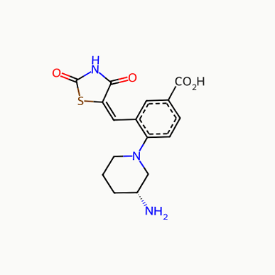 N[C@@H]1CCCN(c2ccc(C(=O)O)cc2C=C2SC(=O)NC2=O)C1